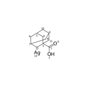 O=C(O)C12CC3CC(CC(C3)C1)C2.[Ag]